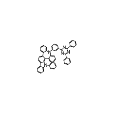 c1ccc(-c2nc(-c3ccccc3)nc(-c3cccc(N4c5ccccc5-c5ccc6c7ccccc7n(-c7ccccc7)c6c5-c5ccccc54)c3)n2)cc1